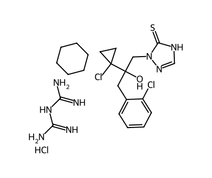 C1CCCCC1.Cl.N=C(N)NC(=N)N.OC(Cc1ccccc1Cl)(Cn1nc[nH]c1=S)C1(Cl)CC1